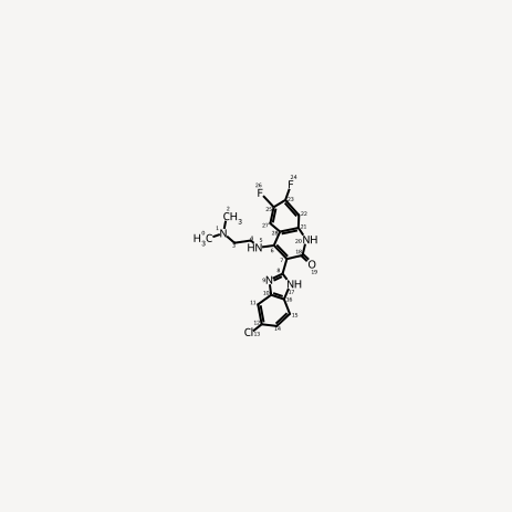 CN(C)CCNc1c(-c2nc3cc(Cl)ccc3[nH]2)c(=O)[nH]c2cc(F)c(F)cc12